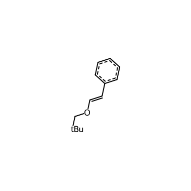 CC(C)(C)COC=Cc1ccccc1